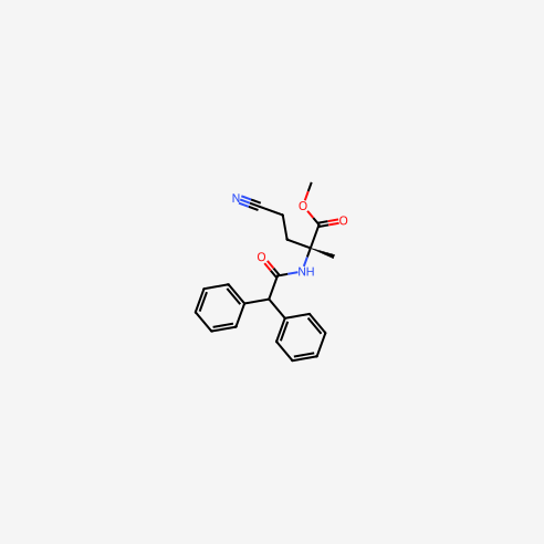 COC(=O)[C@@](C)(CCC#N)NC(=O)C(c1ccccc1)c1ccccc1